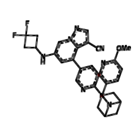 COc1ccc(CN2C3CC2CN(c2ccc(-c4cc(NC5CC(F)(F)C5)cn5ncc(C#N)c45)cn2)C3)cn1